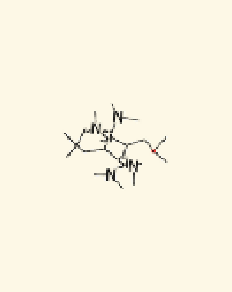 CN(C)[Si]1(N(C)C)C(CC(C)(C)C)[Si](N(C)C)(N(C)C)C1CC(C)(C)C